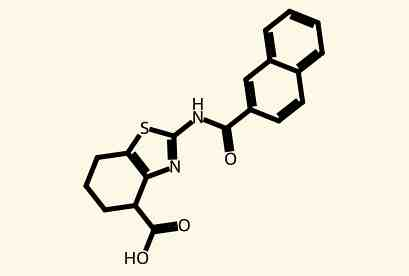 O=C(Nc1nc2c(s1)CCCC2C(=O)O)c1ccc2ccccc2c1